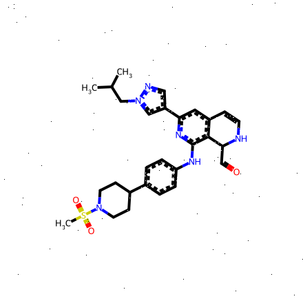 CC(C)Cn1cc(-c2cc3c(c(Nc4ccc(C5CCN(S(C)(=O)=O)CC5)cc4)n2)C(C=O)NC=C3)cn1